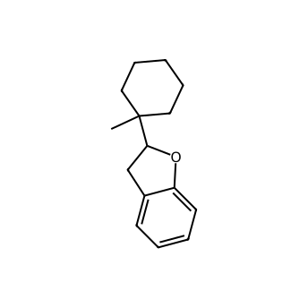 CC1(C2Cc3ccccc3O2)CCCCC1